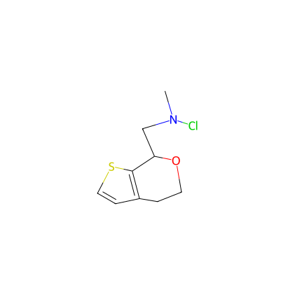 CN(Cl)CC1OCCc2ccsc21